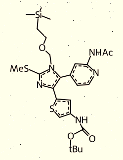 CSc1nc(-c2cc(NC(=O)OC(C)(C)C)cs2)c(-c2ccnc(NC(C)=O)c2)n1COCC[Si](C)(C)C